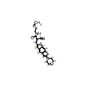 COCCNC(=O)/C(C#N)=C/c1cc2cc3cc(N4CCOCC4)sc3cc2s1